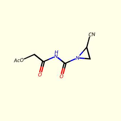 CC(=O)OCC(=O)NC(=O)N1CC1C#N